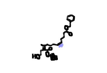 C[C@@H](CCC/C=C\CCCC(=O)OCc1ccccc1)N(CCO)C(=O)OC(C)(C)C